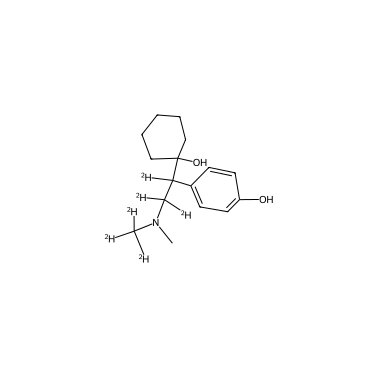 [2H]C([2H])([2H])N(C)C([2H])([2H])C([2H])(c1ccc(O)cc1)C1(O)CCCCC1